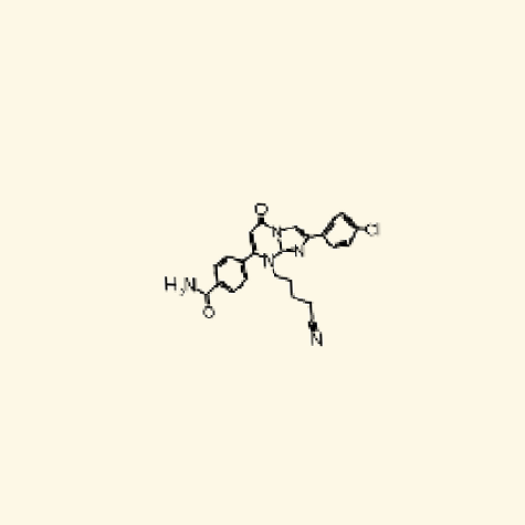 N#CCCCCn1c(-c2ccc(C(N)=O)cc2)cc(=O)n2cc(-c3ccc(Cl)cc3)nc12